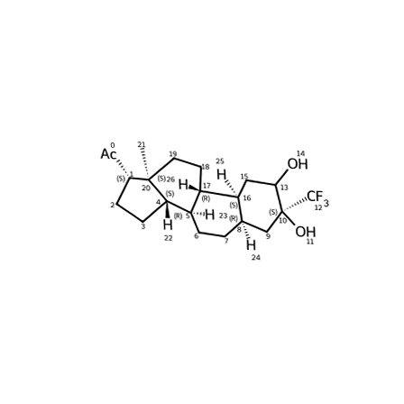 CC(=O)[C@H]1CC[C@H]2[C@@H]3CC[C@@H]4C[C@@](O)(C(F)(F)F)C(O)C[C@@H]4[C@H]3CC[C@]12C